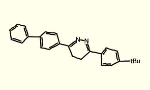 CC(C)(C)c1ccc(C2=NN=C(c3ccc(-c4ccccc4)cc3)CC2)cc1